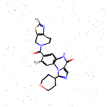 Cc1nc2c(s1)CN(C(=O)c1cc3[nH]c(=O)c4cnc(C5CCOCC5)n4c3cc1C)CC2